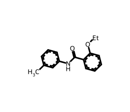 CCOc1ccccc1C(=O)Nc1cccc(C)c1